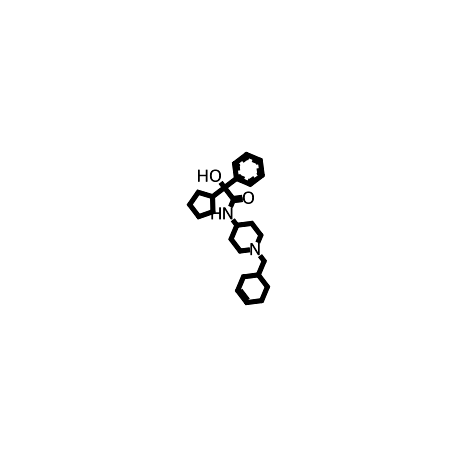 O=C(NC1CCN(CC2CC=CCC2)CC1)C(O)(c1ccccc1)C1CCCC1